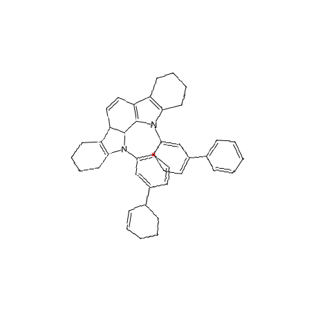 C1=CC(c2cccc(N3C4=C(CCCC4)C4C=Cc5c6c(n(C7=CC(c8ccccc8)=CCC7)c5C43)CCCC6)c2)CCC1